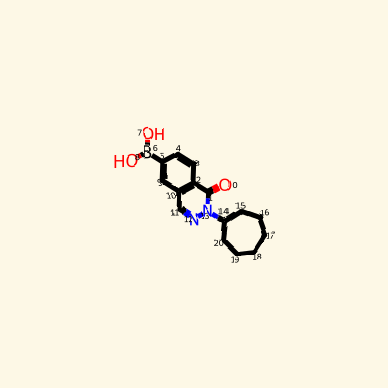 O=c1c2ccc(B(O)O)cc2cnn1C1CCCCCC1